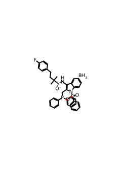 B.CC(C)(CCc1ccc(F)cc1)[S+]([O-])Nc1c(CP(c2ccccc2)c2ccccc2)n(S(=O)(=O)c2ccccc2)c2ccccc12